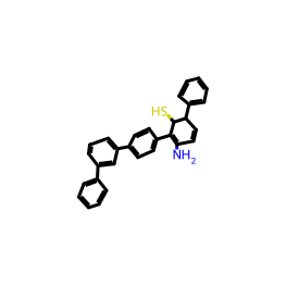 NC1=C(c2ccc(-c3cccc(-c4ccccc4)c3)cc2)C(S)C(c2ccccc2)C=C1